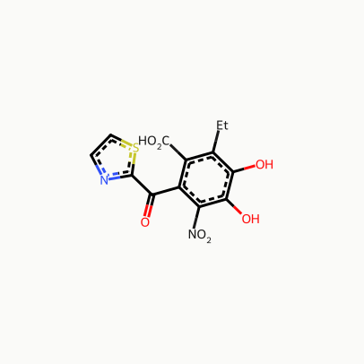 CCc1c(O)c(O)c([N+](=O)[O-])c(C(=O)c2nccs2)c1C(=O)O